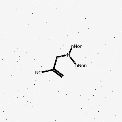 C=C(C#N)CN(CCCCCCCCC)CCCCCCCCC